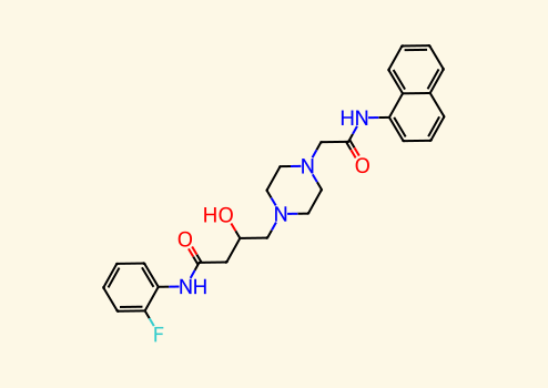 O=C(CC(O)CN1CCN(CC(=O)Nc2cccc3ccccc23)CC1)Nc1ccccc1F